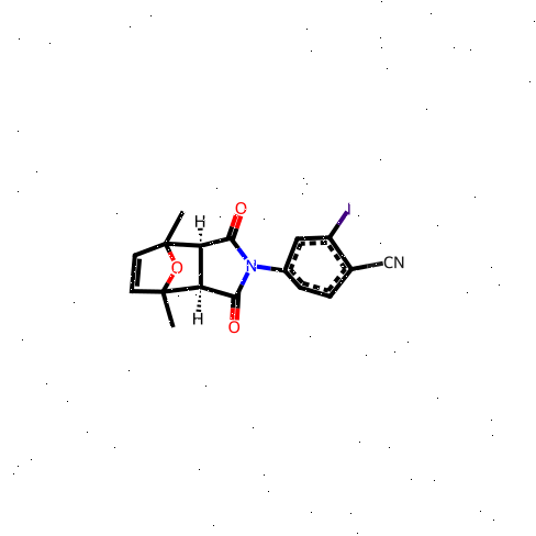 CC12C=CC(C)(O1)[C@H]1C(=O)N(c3ccc(C#N)c(I)c3)C(=O)[C@H]12